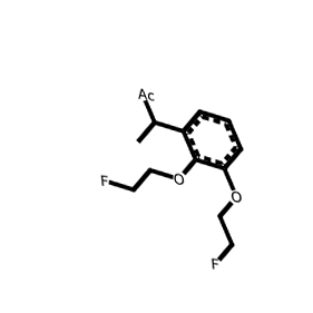 CC(=O)C(C)c1cccc(OCCF)c1OCCF